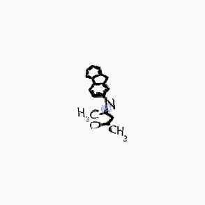 CC(=O)C/C(C)=N/c1ccc2c(c1)Cc1ccccc1-2